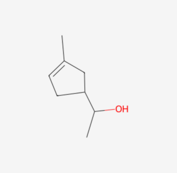 CC1=CCC(C(C)O)C1